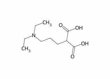 CCN(CC)CCCC(C(=O)O)C(=O)O